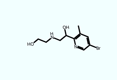 Cc1cc(Br)cnc1C(O)CNCCO